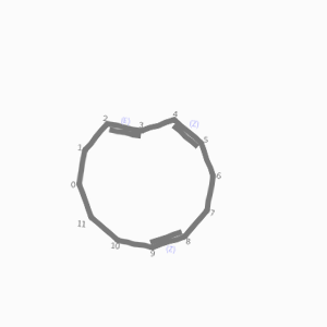 [CH]1C/C=C/C=C\CC/C=C\CC1